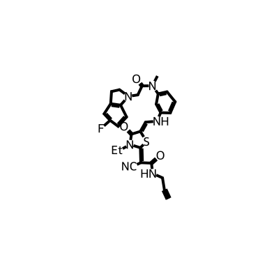 C#CCNC(=O)C(C#N)=c1sc(=CNc2cccc(N(C)C(=O)CN3CCc4cc(F)ccc43)c2)c(=O)n1CC